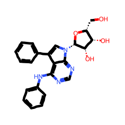 OC[C@H]1O[C@@H](n2cc(-c3ccccc3)c3c(Nc4ccccc4)ncnc32)[C@@H](O)[C@H]1O